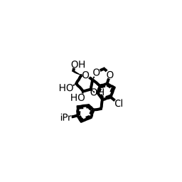 CC(C)c1ccc(Cc2cc3c(cc2Cl)OCO[C@]32O[C@H](CO)[C@@H](O)[C@H](O)[C@H]2O)cc1